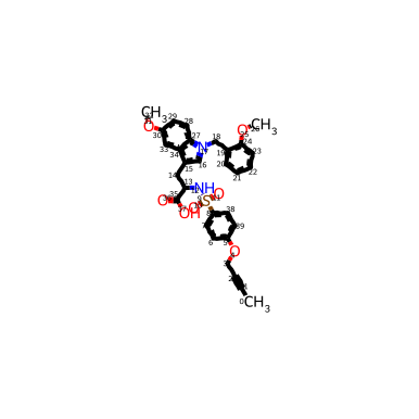 CC#CCOc1ccc(S(=O)(=O)NC(Cc2cn(Cc3ccccc3OC)c3ccc(OC)cc23)C(=O)O)cc1